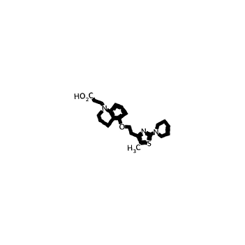 Cc1sc(N2CC=CCC2)nc1CCOc1cccc2c1CCCN2CCC(=O)O